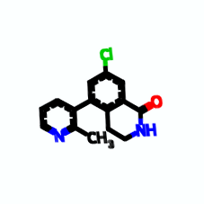 Cc1ncccc1-c1cc(Cl)cc2c1CCNC2=O